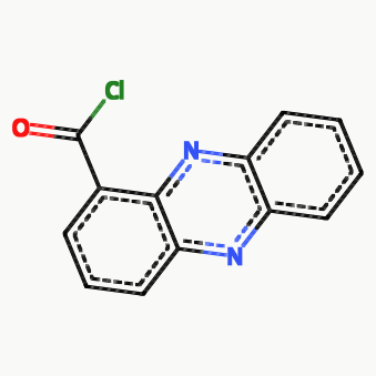 O=C(Cl)c1cccc2nc3ccccc3nc12